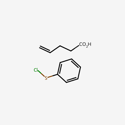 C=CCCC(=O)O.ClSc1ccccc1